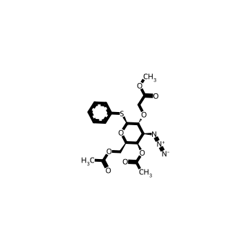 COC(=O)CO[C@@H]1[C@@H](N=[N+]=[N-])[C@@H](OC(C)=O)[C@@H](COC(C)=O)O[C@H]1Sc1ccccc1